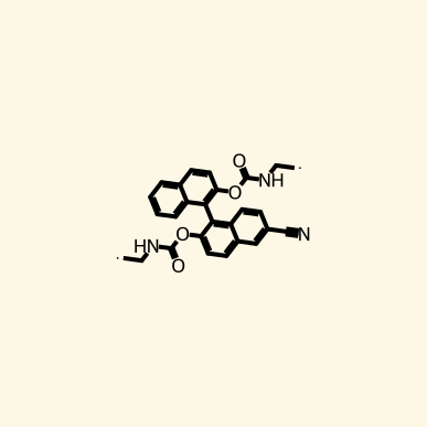 [CH2]CNC(=O)Oc1ccc2ccccc2c1-c1c(OC(=O)NC[CH2])ccc2cc(C#N)ccc12